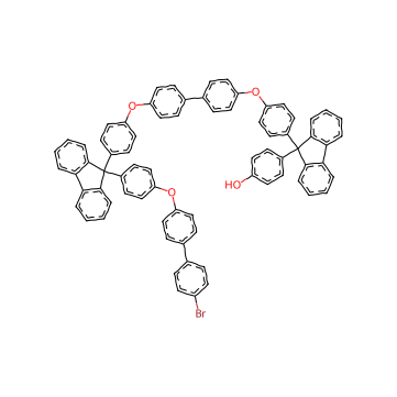 Oc1ccc(C2(c3ccc(Oc4ccc(-c5ccc(Oc6ccc(C7(c8ccc(Oc9ccc(-c%10ccc(Br)cc%10)cc9)cc8)c8ccccc8-c8ccccc87)cc6)cc5)cc4)cc3)c3ccccc3-c3ccccc32)cc1